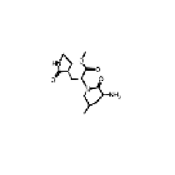 COC(=O)[C@H](C[C@@H]1CCNC1=O)N1CC(C)C[C@H](N)C1=O